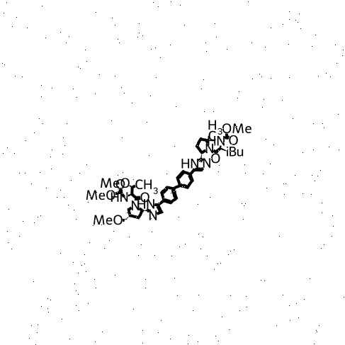 CC[C@H](C)[C@H](NC(=O)OC)C(=O)N1[C@@H](C)CC[C@H]1c1ncc(-c2ccc(-c3ccc(-c4cnc([C@@H]5C[C@H](COC)CN5C(=O)[C@@H](NC(=O)OC)[C@@H](C)OC)[nH]4)cc3)cc2)[nH]1